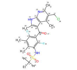 [2H]C([2H])(CC)S(=O)(=O)Nc1c(C)c(C)c(F)c(C(=O)c2c(C)[nH]c3nc(C)c(CCl)c(C)c23)c1F